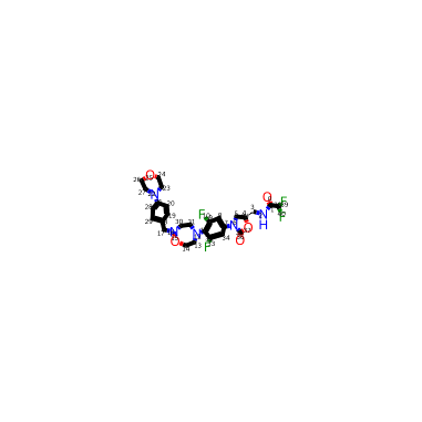 O=C(NC[C@H]1CN(c2cc(F)c(N3CCON(Cc4ccc(N5CCOCC5)cc4)CC3)c(F)c2)C(=O)O1)C(F)F